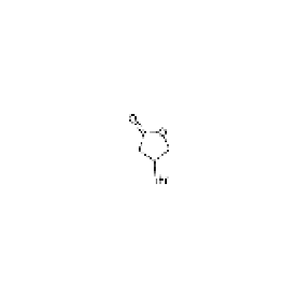 CCCC1COC(=O)C1